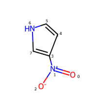 O=[N+]([O-])c1[c]c[nH]c1